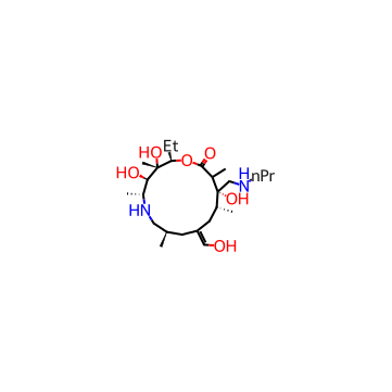 CCCNC[C@]1(O)C(C)C(=O)O[C@H](CC)[C@@](C)(O)[C@H](O)[C@@H](C)NC[C@H](C)C/C(=C/O)C[C@H]1C